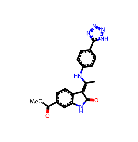 COC(=O)c1ccc2c(c1)NC(=O)C2=C(C)Nc1ccc(-c2nnn[nH]2)cc1